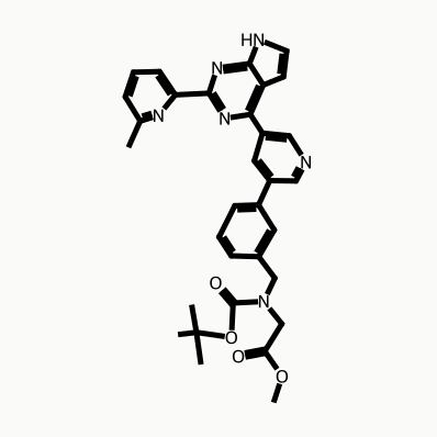 COC(=O)CN(Cc1cccc(-c2cncc(-c3nc(-c4cccc(C)n4)nc4[nH]ccc34)c2)c1)C(=O)OC(C)(C)C